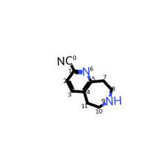 N#Cc1ccc2c(n1)CCNCC2